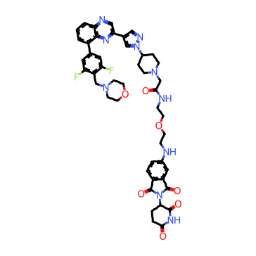 O=C(CN1CCC(n2cc(-c3cnc4cccc(-c5cc(F)c(CN6CCOCC6)c(F)c5)c4n3)cn2)CC1)NCCOCCNc1ccc2c(c1)C(=O)N(C1CCC(=O)NC1=O)C2=O